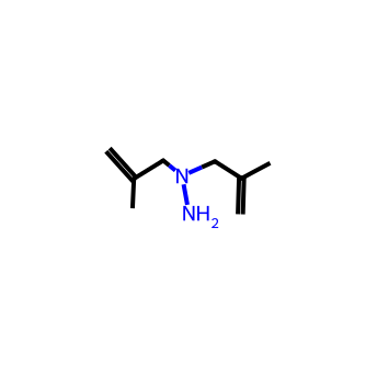 C=C(C)CN(N)CC(=C)C